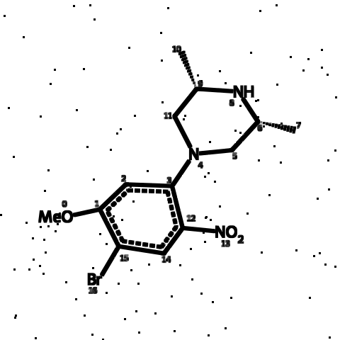 COc1cc(N2C[C@@H](C)N[C@@H](C)C2)c([N+](=O)[O-])cc1Br